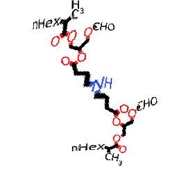 CCCCCCC(C)C(=O)OCC(COC=O)OC(=O)CCCNCCCC(=O)OC(COC=O)COC(=O)C(C)CCCCCC